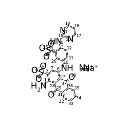 Nc1c(S(=O)(=O)[O-])cc(Nc2ccc(Nc3ncccn3)c(S(=O)(=O)[O-])c2)c2c1C(=O)c1ccccc1C2=O.[Na+].[Na+]